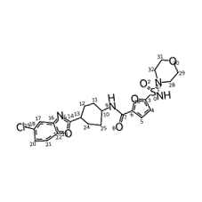 N=S(=O)(c1ccc(C(=O)NC2CCC(c3nc4cc(Cl)ccc4o3)CC2)o1)N1CCOCC1